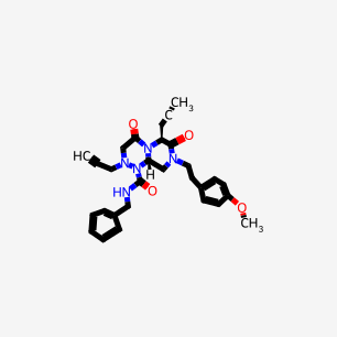 C#CCN1CC(=O)N2[C@@H](CCC)C(=O)N(CCc3ccc(OC)cc3)C[C@@H]2N1C(=O)NCc1ccccc1